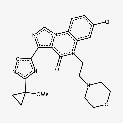 COC1(c2noc(-c3ncn4c3c(=O)n(CCN3CCOCC3)c3cc(Cl)ccc34)n2)CC1